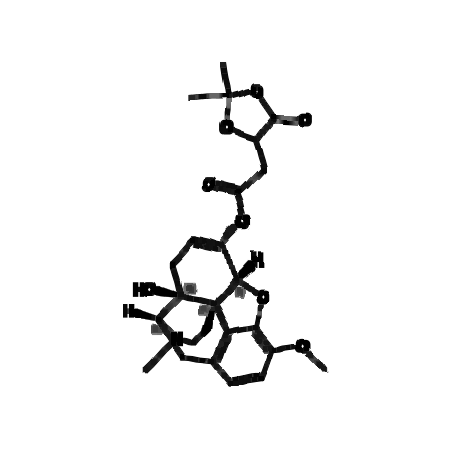 COc1ccc2c3c1O[C@H]1C(OC(=O)CC4OC(C)(C)OC4=O)=CC[C@@]4(O)[C@@H](C2)N(C)CC[C@]314